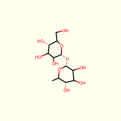 CC1O[C@H](O[C@H]2OC(CO)[C@@H](O)C(O)C2O)C(O)C(O)[C@@H]1O